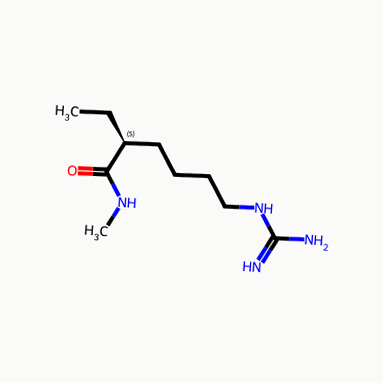 CC[C@@H](CCCCNC(=N)N)C(=O)NC